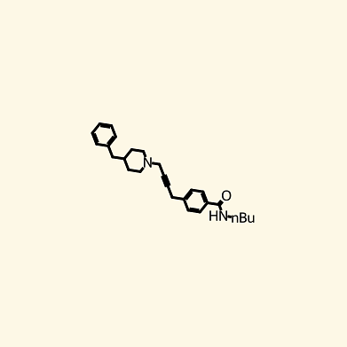 CCCCNC(=O)c1ccc(CC#CCN2CCC(Cc3ccccc3)CC2)cc1